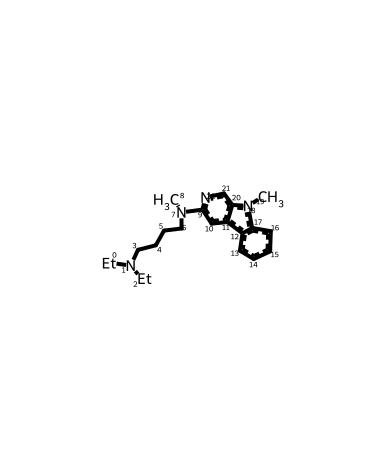 CCN(CC)CCCCN(C)c1cc2c3ccccc3n(C)c2cn1